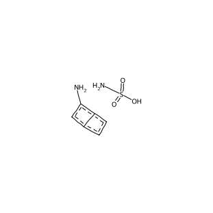 NS(=O)(=O)O.Nc1cc2ccc1-2